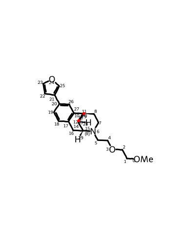 COCCOCCN1CC[C@]23CCCC[C@H]2[C@H]1Cc1ccc(-c2ccoc2)cc13